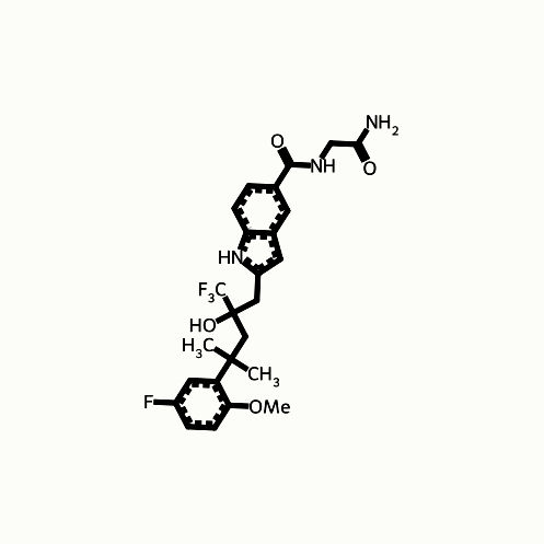 COc1ccc(F)cc1C(C)(C)CC(O)(Cc1cc2cc(C(=O)NCC(N)=O)ccc2[nH]1)C(F)(F)F